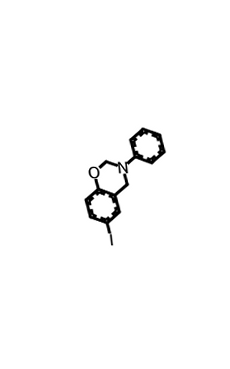 Ic1ccc2c(c1)CN(c1ccccc1)CO2